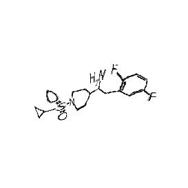 NC(Cc1cc(F)ccc1F)C1CCN(S(=O)(=O)C2CC2)CC1